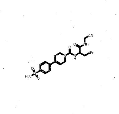 CC(C)CC(NC(=O)N1CC=C(c2ccc(S(C)(=O)=O)cc2)CC1)C(=O)NCC#N